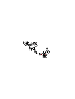 Cn1c(=O)n(C2CCC(=O)NC2=O)c2ccc(N3CCC(CN4CCN(c5cc(-c6ccc7cc[nH]c7c6)cc(-c6cc(-c7cc8c([nH]7)CCNC8=O)ccn6)c5)CC4)CC3)cc21